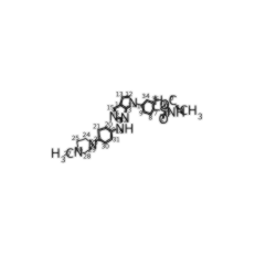 C=C(C)NS(=O)(=O)c1ccc(-n2ccc3cnc(Nc4ccc(N5CCN(C)CC5)cc4)nc32)cc1